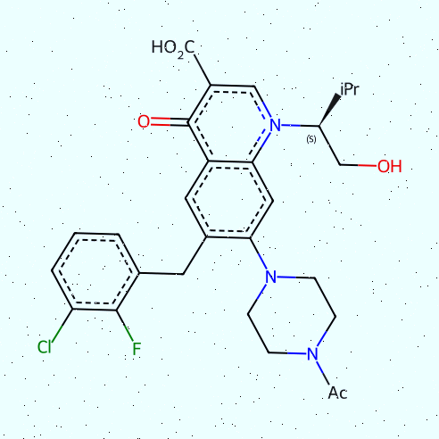 CC(=O)N1CCN(c2cc3c(cc2Cc2cccc(Cl)c2F)c(=O)c(C(=O)O)cn3[C@H](CO)C(C)C)CC1